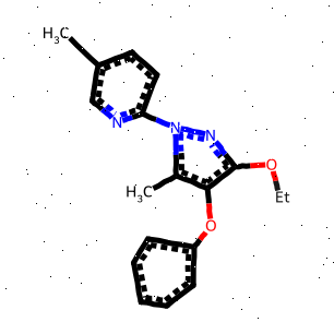 CCOc1nn(-c2ccc(C)cn2)c(C)c1Oc1ccccc1